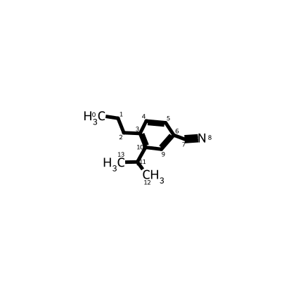 CCCc1ccc(C#N)cc1[C](C)C